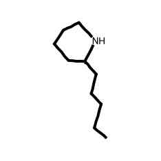 CCCCC[C]1CCCCN1